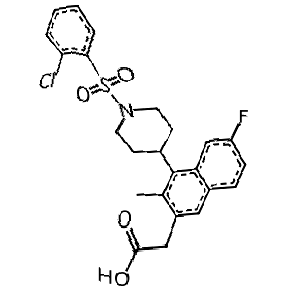 Cc1c(CC(=O)O)cc2ccc(F)cc2c1C1CCN(S(=O)(=O)c2ccccc2Cl)CC1